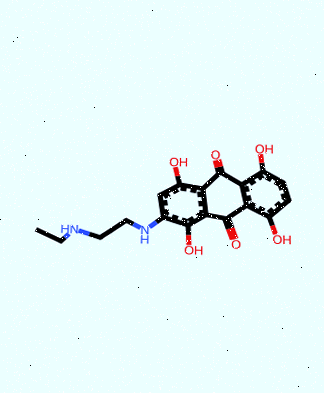 CCNCCNc1cc(O)c2c(c1O)C(=O)c1c(O)ccc(O)c1C2=O